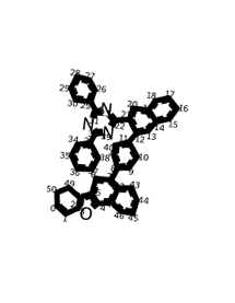 C1=Cc2oc3c(cc(-c4ccc(-c5cc6ccccc6cc5-c5nc(-c6ccccc6)nc(-c6ccccc6)n5)cc4)c4ccccc43)c2CC1